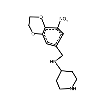 O=[N+]([O-])c1cc(CNC2CCNCC2)cc2c1OCCO2